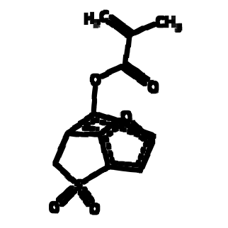 C=C(C)C(=O)Oc1c2c3oc1cc3S(=O)(=O)C2